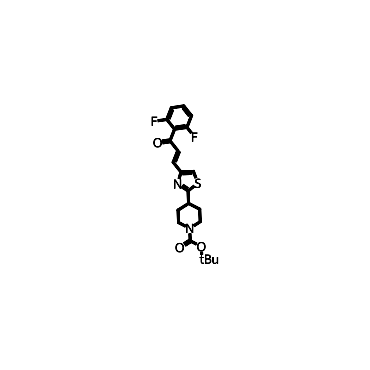 CC(C)(C)OC(=O)N1CCC(c2nc(C=CC(=O)c3c(F)cccc3F)cs2)CC1